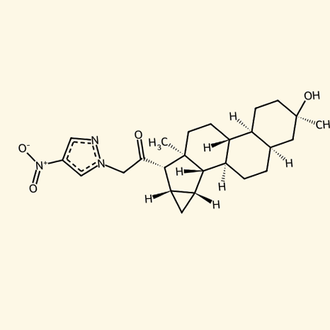 C[C@@]1(O)CC[C@H]2[C@H](CC[C@@H]3[C@@H]2CC[C@@]2(C)[C@H]3[C@@H]3C[C@@H]3[C@@H]2C(=O)Cn2cc([N+](=O)[O-])cn2)C1